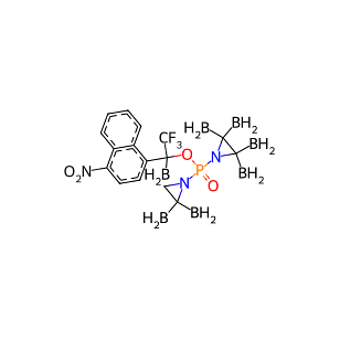 BC1(B)CN1P(=O)(OC(B)(c1ccc([N+](=O)[O-])c2ccccc12)C(F)(F)F)N1C(B)(B)C1(B)B